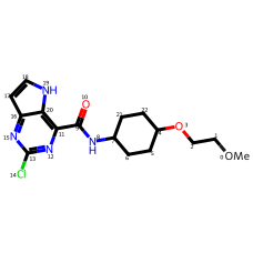 COCCOC1CCC(NC(=O)c2nc(Cl)nc3cc[nH]c23)CC1